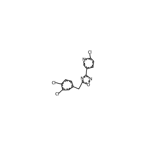 Clc1ccc(-c2noc(Cc3ccc(Cl)c(Cl)c3)n2)cn1